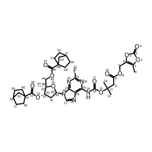 Cc1oc(=O)oc1COC(=O)CC(C)(C)OC(=O)Nc1nc(F)nc2c1ncn2[C@H]1C[C@H](OC(=O)C23CCC(CC2)C3)[C@@](C)(COC(=O)C23CCC(CC2)C3)O1